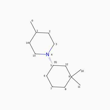 CC1CCN([C@H]2CCCC(C)(C)C2)CC1